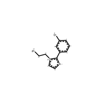 CCc1cccc(-c2nccn2CCC(C)C)c1